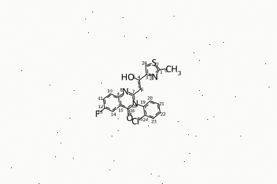 Cc1nc(C(O)=Cc2nc3ccc(F)cc3c(=O)n2-c2ccccc2Cl)cs1